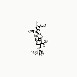 Cn1nnnc1SCC1=C(C(=O)O)N2C(=O)C(NC(=O)C(OC=O)c3c[nH]c(=NC=O)s3)[C@@H]2SC1